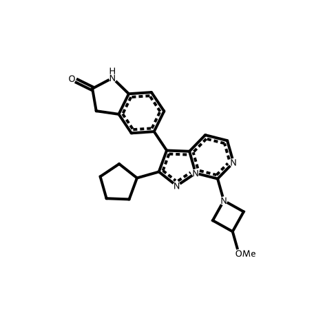 COC1CN(c2nccc3c(-c4ccc5c(c4)CC(=O)N5)c(C4CCCC4)nn23)C1